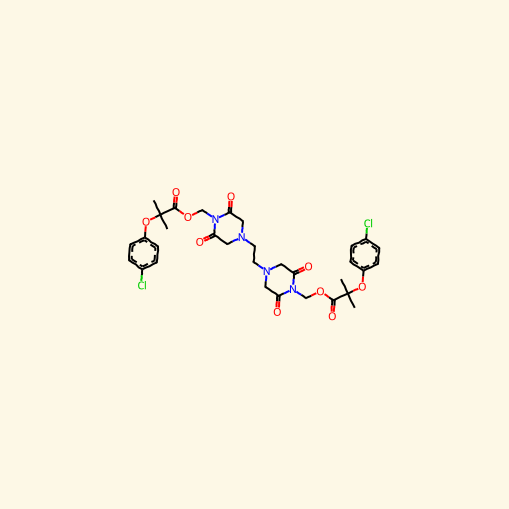 CC(C)(Oc1ccc(Cl)cc1)C(=O)OCN1C(=O)CN(CCN2CC(=O)N(COC(=O)C(C)(C)Oc3ccc(Cl)cc3)C(=O)C2)CC1=O